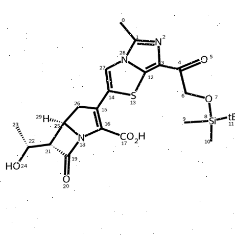 Cc1nc(C(=O)CO[Si](C)(C)C(C)(C)C)c2sc(C3=C(C(=O)O)N4C(=O)[C@H]([C@@H](C)O)[C@H]4C3)cn12